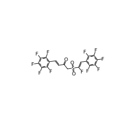 O=C(C=Cc1c(F)c(F)c(F)c(F)c1F)CS(=O)(=O)C(F)=Cc1c(F)c(F)c(F)c(F)c1F